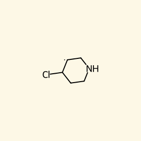 ClC1[CH]CNCC1